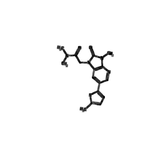 Cc1ccc(-c2cnc3c(c2)n(CC(=O)N(C)C)c(=O)n3C)s1